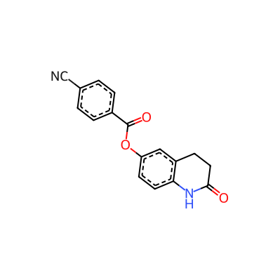 N#Cc1ccc(C(=O)Oc2ccc3c(c2)CCC(=O)N3)cc1